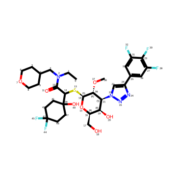 CCN(CC1CCOCC1)C(=O)C(S[C@@H]1O[C@H](CO)[C@H](O)[C@H](n2cc(-c3cc(F)c(F)c(F)c3)nn2)[C@H]1OC)C1(O)CCC(F)(F)CC1